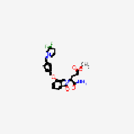 COC(=O)CCC(C(N)=O)N1Cc2c(OCc3ccc(CN4CCCC(F)(F)C4)cc3)cccc2C1=O